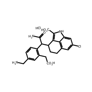 Cl.NCc1ccc(C(C(N)=O)C2CCc3cc(Cl)cc4[nH]c(C(=O)O)c2c34)c(CC(=O)O)c1